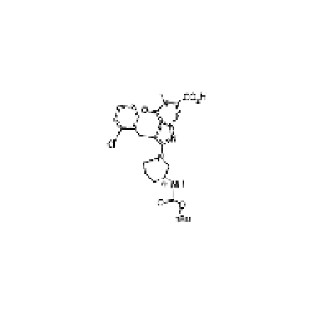 Cn1c(C(=O)O)cn2nc(N3CCC[C@@H](NC(=O)OC(C)(C)C)C3)c(Cc3ccccc3Cl)c2c1=O